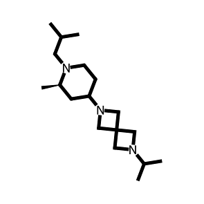 CC(C)CN1CCC(N2CC3(CN(C(C)C)C3)C2)C[C@H]1C